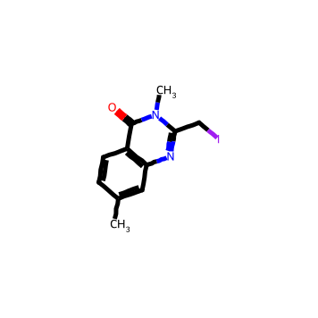 Cc1ccc2c(=O)n(C)c(CI)nc2c1